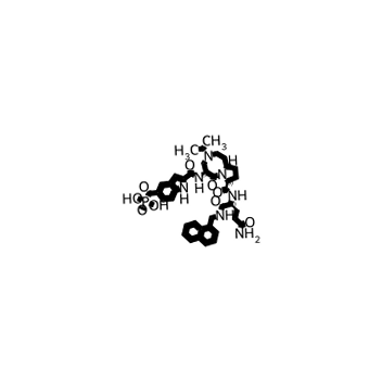 CC(C)N1CC[C@H]2CC[C@@H](C(=O)N[C@@H](CCC(N)=O)C(=O)NCc3cccc4ccccc34)N2C(=O)[C@@H](NC(=O)c2cc3cc(C(=O)P(=O)(O)O)ccc3[nH]2)C1